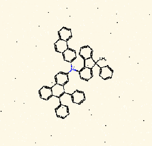 CC1(c2ccccc2)c2ccccc2-c2c(N(c3ccc4c(ccc5ccccc54)c3)c3ccc4c(c3)c(-c3ccccc3)c(-c3ccccc3)c3ccccc34)cccc21